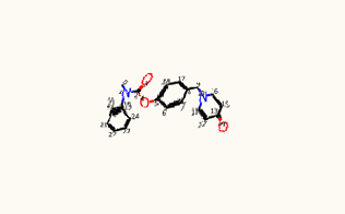 CN(C(=O)Oc1ccc(Cn2ccc(=O)cc2)cc1)c1ccccc1